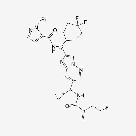 C=C(CCF)C(=O)NC(c1cnn2cc([C@@H](NC(=O)c3ccnn3C(C)C)C3CCC(F)(F)CC3)nc2c1)C1CC1